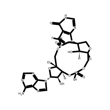 CC[C@@]12COP(=O)(O)O[C@]3(n4cc(F)c5c(=O)[nH]cnc54)CO[C@H](COP(=O)(S)O[C@H]1[C@@H](O)[C@H](n1cnc4c(N)ncnc41)O2)[C@H]3O